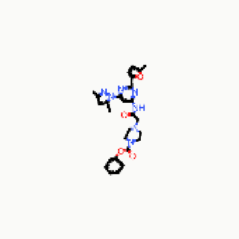 Cc1cc(C)n(-c2cc(NC(=O)CN3CCN(C(=O)Oc4ccccc4)CC3)nc(-c3ccc(C)o3)n2)n1